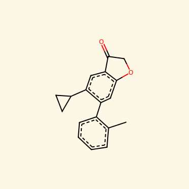 Cc1ccccc1-c1cc2c(cc1C1CC1)C(=O)CO2